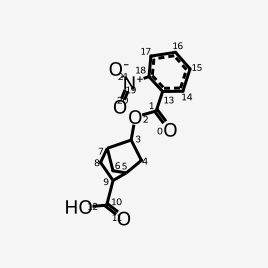 O=C(OC1CC2CC1CC2C(=O)O)c1ccccc1[N+](=O)[O-]